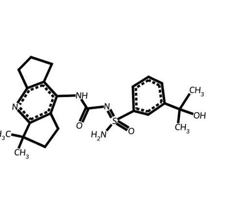 CC(C)(O)c1cccc(S(N)(=O)=NC(=O)Nc2c3c(nc4c2CCC4(C)C)CCC3)c1